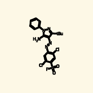 CC(C)(C)c1nn(-c2ccccc2)c(N)c1N=Nc1cc(Cl)c(S(=O)(=O)F)cc1Cl